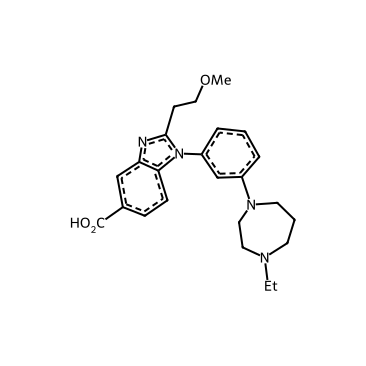 CCN1CCCN(c2cccc(-n3c(CCOC)nc4cc(C(=O)O)ccc43)c2)CC1